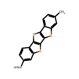 CCCCCCc1ccc2c(c1)sc1c2sc2c3ccc(C)cc3sc21